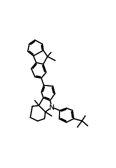 CC(C)(C)c1ccc(N2c3ccc(-c4ccc5c(c4)C(C)(C)c4ccccc4-5)cc3C3(C)CCCCC23C)cc1